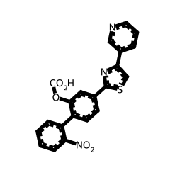 O=C(O)Oc1cc(-c2nc(-c3cccnc3)cs2)ccc1-c1ccccc1[N+](=O)[O-]